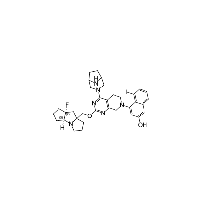 Oc1cc(N2CCc3c(nc(OCC45CCCN4[C@H]4CCC[C@@]4(F)C5)nc3N3CC4CCC(C3)N4)C2)c2c(I)cccc2c1